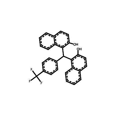 Oc1ccc2ccccc2c1C(c1ccc(C(F)(F)F)cc1)c1c(O)ccc2ccccc12